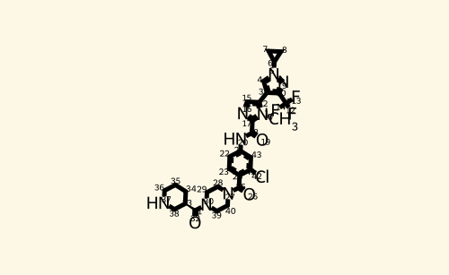 Cn1c(-c2cn(C3CC3)nc2C(F)(F)F)cnc1C(=O)Nc1ccc(C(=O)N2CCN(C(=O)[C@@H]3CCCNC3)CC2)c(Cl)c1